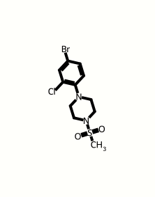 CS(=O)(=O)N1CCN(c2ccc(Br)cc2Cl)CC1